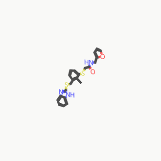 Cc1c(CSc2nc3ccccc3[nH]2)cccc1SCC(=O)NCc1ccco1